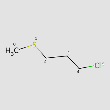 CSCCCCl